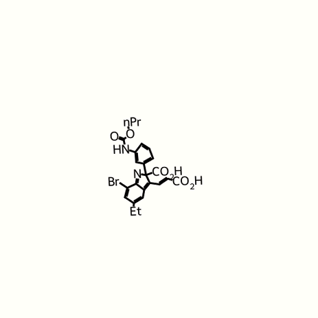 CCCOC(=O)Nc1cccc(C2(C(=O)O)N=c3c(Br)cc(CC)cc3=C2C=CC(=O)O)c1